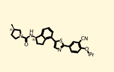 CC(C)Oc1ccc(-c2ncc(-c3cccc4c3CC[C@H]4NC(=O)N3CC[C@@H](C)C3)s2)cc1C#N